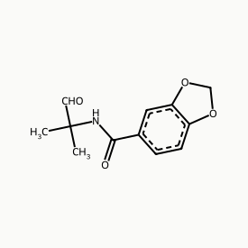 CC(C)(C=O)NC(=O)c1ccc2c(c1)OCO2